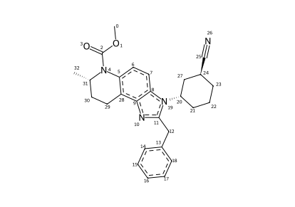 COC(=O)N1c2ccc3c(nc(Cc4ccccc4)n3[C@H]3CCC[C@H](C#N)C3)c2CC[C@@H]1C